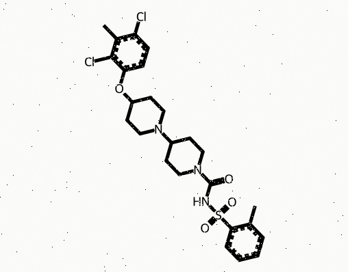 Cc1ccccc1S(=O)(=O)NC(=O)N1CCC(N2CCC(Oc3ccc(Cl)c(C)c3Cl)CC2)CC1